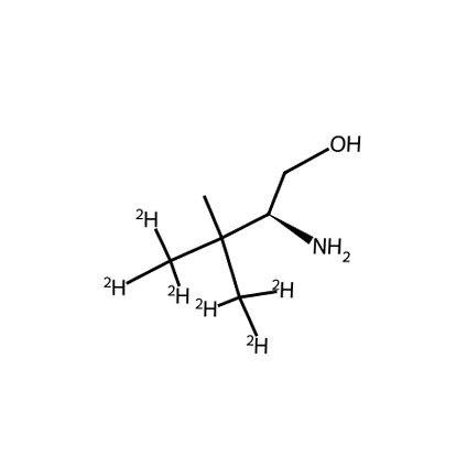 [2H]C([2H])([2H])C(C)([C@H](N)CO)C([2H])([2H])[2H]